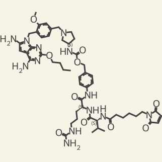 CCCCOc1nc(N)c2cc(N)n(Cc3ccc(CN4CC[C@H](NC(=O)OCc5ccc(NC(=O)[C@H](CCCNC(N)=O)NC(=O)[C@@H](NC(=O)CCCCCN6C(=O)C=CC6=O)C(C)C)cc5)C4)cc3OC)c2n1